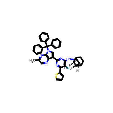 CCOC(=O)[C@@H]1C2CCC(CC2)[C@H]1Nc1nc(-c2cn(C(c3ccccc3)(c3ccccc3)c3ccccc3)c3nc(C)cnc23)nc(-c2cccs2)c1F